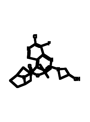 CC(C)(C)OC(=O)N1C2CCC1CN(c1nc(N3CC(O)C3)nc3c(F)c(Cl)ncc13)C2